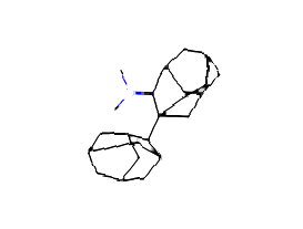 CN(C)C1C2CC3[CH]C1(C1C4CC5CC(C4)CC1C5)CC(C3)C2